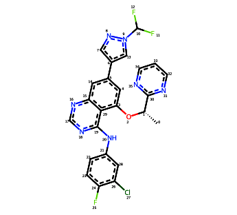 C[C@H](Oc1cc(-c2cnn(C(F)F)c2)cc2ncnc(Nc3ccc(F)c(Cl)c3)c12)c1ncccn1